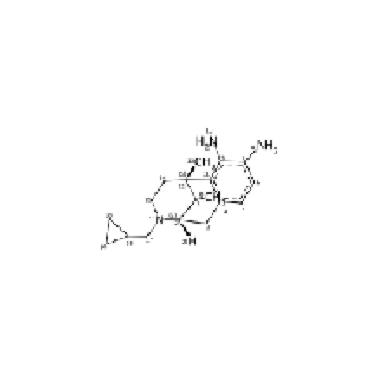 CC1[C@@H]2Cc3ccc(N)c(N)c3[C@@]1(C)CCN2CC1CC1